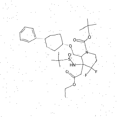 CCOC(=O)CC1(N[S@@+]([O-])C(C)(C)C)C(CO[C@H]2CC[C@@H](c3ccccc3)CC2)N(C(=O)OC(C)(C)C)CCC1(F)F